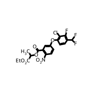 CCOC(=O)C(C)OC(=O)c1cc(Oc2ccc(C(F)F)c(F)c2Cl)ccc1[N+](=O)[O-]